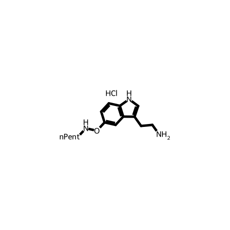 CCCCCNOc1ccc2[nH]cc(CCN)c2c1.Cl